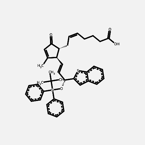 CC1=CC(=O)[C@H](C/C=C\CCCC(=O)O)[C@H]1/C=C/[C@@H](O[Si](c1ccccc1)(c1ccccc1)C(C)(C)C)c1cc2ccccc2s1